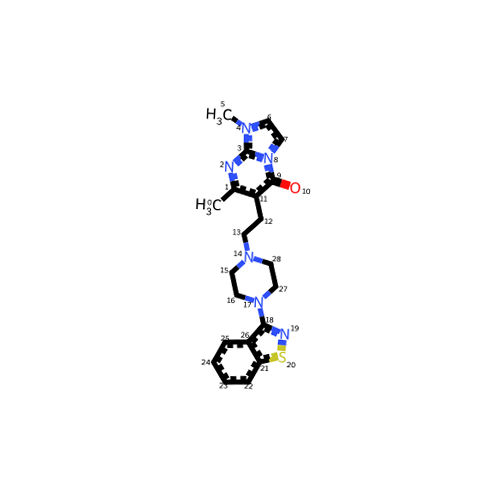 Cc1nc2n(C)ccn2c(=O)c1CCN1CCN(c2nsc3ccccc23)CC1